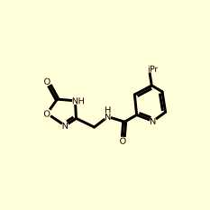 CC(C)c1ccnc(C(=O)NCc2noc(=O)[nH]2)c1